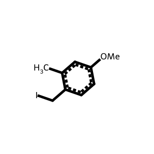 COc1ccc(CI)c(C)c1